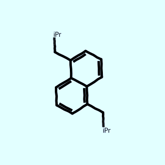 CC(C)Cc1cccc2c(CC(C)C)cccc12